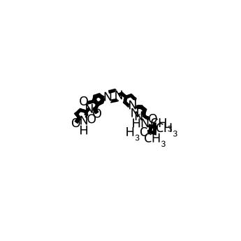 CC1(C)CC(C)(C)C1NC(=O)c1ccc(N2CCC(CN3CCN(c4ccc5c(c4)C(=O)N(C4CCC(=O)NC4=O)C5=O)CC3)CC2)nn1